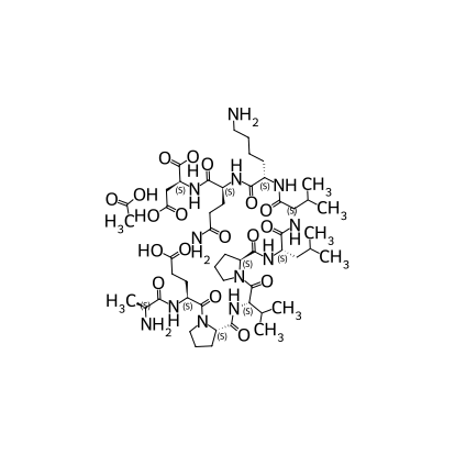 CC(=O)O.CC(C)C[C@H](NC(=O)[C@@H]1CCCN1C(=O)[C@@H](NC(=O)[C@@H]1CCCN1C(=O)[C@H](CCC(=O)O)NC(=O)[C@H](C)N)C(C)C)C(=O)N[C@H](C(=O)N[C@@H](CCCCN)C(=O)N[C@@H](CCC(N)=O)C(=O)N[C@@H](CC(=O)O)C(=O)O)C(C)C